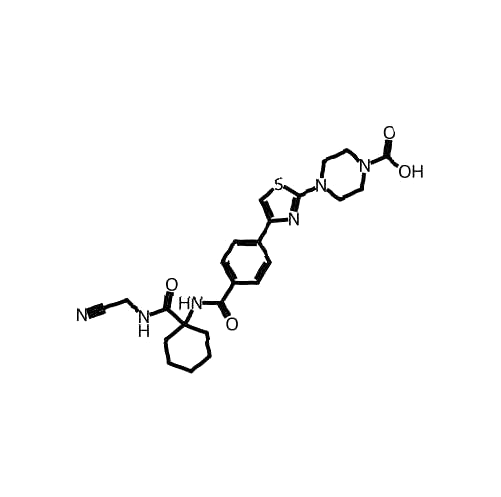 N#CCNC(=O)C1(NC(=O)c2ccc(-c3csc(N4CCN(C(=O)O)CC4)n3)cc2)CCCCC1